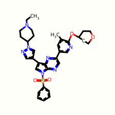 CCN1CCC(n2cc(-c3cn(S(=O)(=O)c4ccccc4)c4ncc(-c5cnc(OC6CCOCC6)c(C)c5)nc34)cn2)CC1